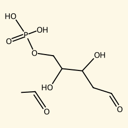 CC=O.O=CCC(O)C(O)COP(=O)(O)O